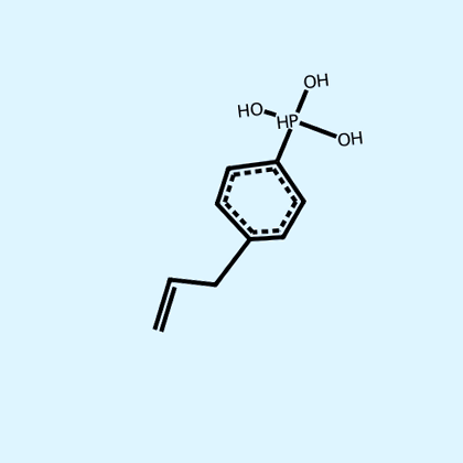 C=CCc1ccc([PH](O)(O)O)cc1